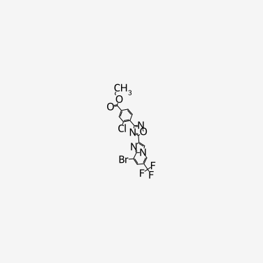 CCOC(=O)c1ccc(-c2noc(-c3cn4cc(C(F)(F)F)cc(Br)c4n3)n2)c(Cl)c1